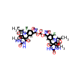 C[C@H]1CN2c3c(cc4c(OC(=O)Oc5noc6c(F)c7c(cc56)CC5(C(=O)NC(=O)NC5=O)[C@@H]5[C@@H](C)O[C@@H](C)CN75)noc4c3F)CC3(C(=O)NC(=O)NC3=O)[C@@H]2[C@@H](C)O1